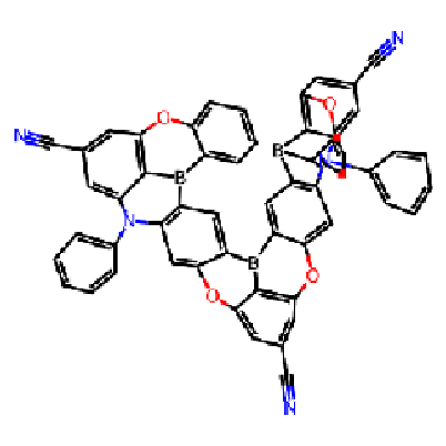 N#Cc1cc2c3c(c1)Oc1cc4c(cc1B3c1cc3c(cc1O2)N(c1ccccc1)c1cc(C#N)cc2c1B3c1ccccc1O2)B1c2ccccc2Oc2cc(C#N)cc(c21)N4c1ccccc1